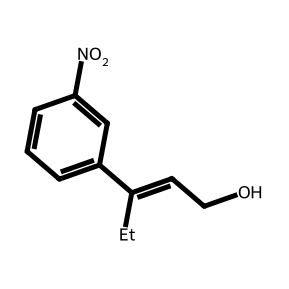 CCC(=CCO)c1cccc([N+](=O)[O-])c1